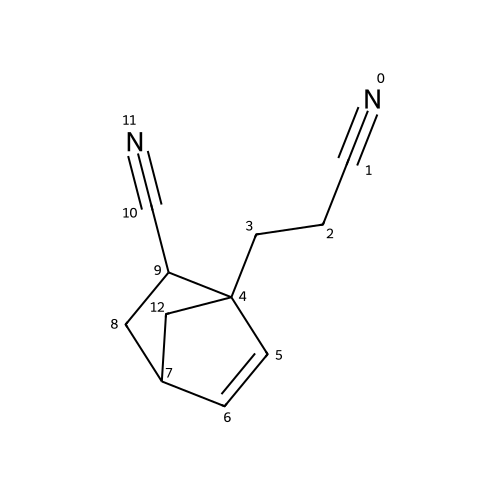 N#CCCC12C=CC(CC1C#N)C2